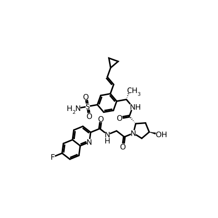 C[C@H](NC(=O)[C@@H]1C[C@@H](O)CN1C(=O)CNC(=O)c1ccc2cc(F)ccc2n1)c1ccc(S(N)(=O)=O)cc1/C=C/C1CC1